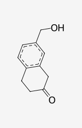 O=C1CCc2ccc(CO)cc2C1